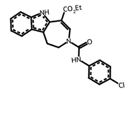 CCOC(=O)C1=CN(C(=O)Nc2ccc(Cl)cc2)CCc2c1[nH]c1ccccc21